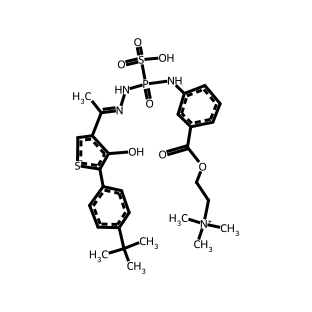 C/C(=N\NP(=O)(Nc1cccc(C(=O)OCC[N+](C)(C)C)c1)S(=O)(=O)O)c1csc(-c2ccc(C(C)(C)C)cc2)c1O